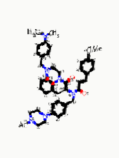 COc1ccc(C=CC(=O)N(Cc2ccc(N3CCN(C(C)=O)CC3)cc2)[C@@H](Cc2ccccc2)C(=O)N2CCN(Cc3ccc(N(C)C)cc3)CC2)cc1